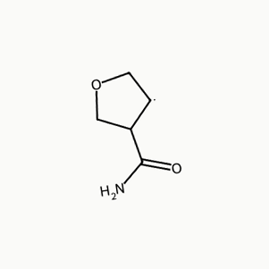 NC(=O)C1[CH]COC1